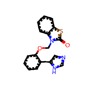 O=c1sc2ccccc2n1COc1ccccc1-c1cnc[nH]1